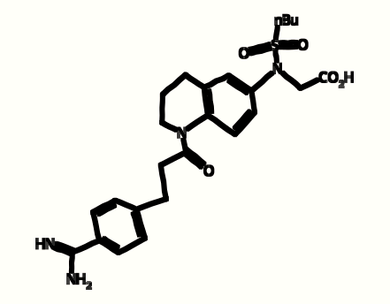 CCCCS(=O)(=O)N(CC(=O)O)c1ccc2c(c1)CCCN2C(=O)CCc1ccc(C(=N)N)cc1